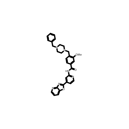 COc1cc(C(=O)Nc2cc(-c3nc4ncccc4o3)ccn2)ccc1CN1CCN(Cc2ccccc2)CC1